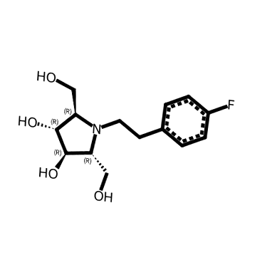 OC[C@@H]1[C@@H](O)[C@H](O)[C@@H](CO)N1CCc1ccc(F)cc1